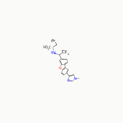 CC(C)C[C@H](NC(c1ccc2c(c1)oc1ccc(-c3cn(C)cn3)cc12)C(F)(F)F)C(=O)O